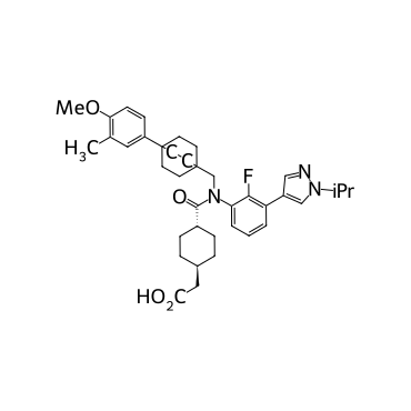 COc1ccc(C23CCC(CN(c4cccc(-c5cnn(C(C)C)c5)c4F)C(=O)[C@H]4CC[C@H](CC(=O)O)CC4)(CC2)CC3)cc1C